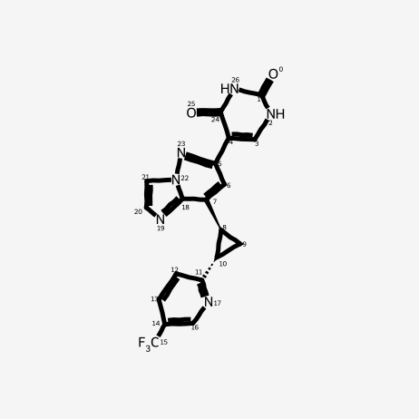 O=c1[nH]cc(-c2cc([C@H]3C[C@@H]3c3ccc(C(F)(F)F)cn3)c3nccn3n2)c(=O)[nH]1